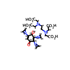 O=C(O)CN(CCN(CC(=O)O)CC(=O)O)CC(=O)O.O=C1C=C(N2CC2)C(=O)C(N2CC2)=C1N1CC1